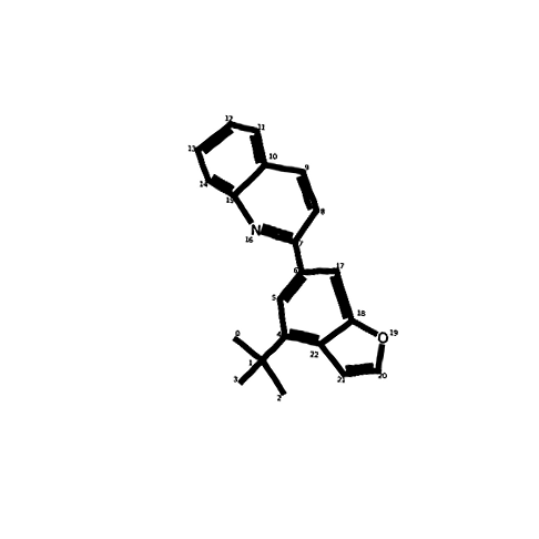 CC(C)(C)c1cc(-c2ccc3ccccc3n2)cc2occc12